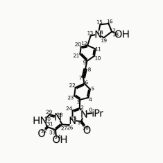 CC(C)n1c(-c2ccc(C#Cc3ccc(CN4CCC(O)C4)cc3)cc2)cn(Cc2nc[nH]c(=O)c2O)c1=O